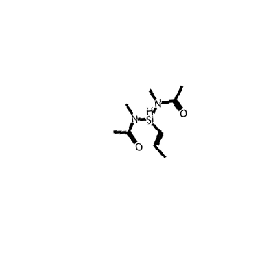 CC=C[SiH](N(C)C(C)=O)N(C)C(C)=O